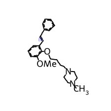 COc1cccc(/C=C/c2ccccc2)c1OCCCCN1CCN(C)CC1